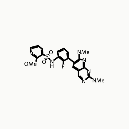 CNc1ncc2cc(-c3cccc(NS(=O)(=O)c4cccnc4OC)c3F)c(NC)nc2n1